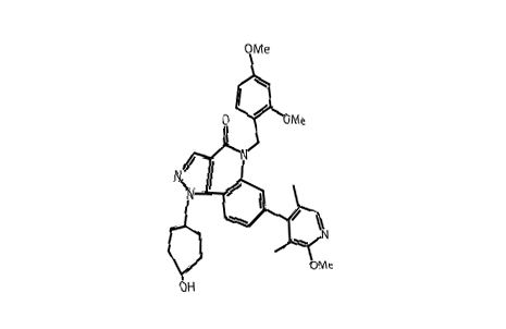 COc1ccc(Cn2c(=O)c3cnn(C4CCC(O)CC4)c3c3ccc(-c4c(C)cnc(OC)c4C)cc32)c(OC)c1